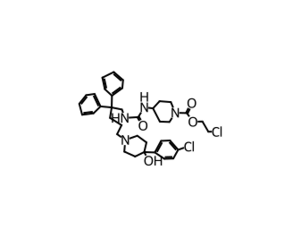 O=C(NCC(CCCN1CCC(O)(c2ccc(Cl)cc2)CC1)(c1ccccc1)c1ccccc1)NC1CCN(C(=O)OCCCl)CC1